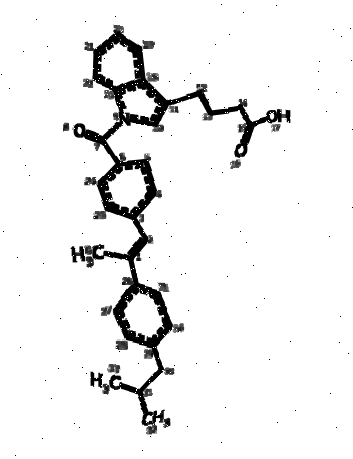 C/C(=C\c1ccc(C(=O)n2cc(CCCC(=O)O)c3ccccc32)cc1)c1ccc(CC(C)C)cc1